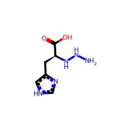 NNN[C@@H](Cc1c[nH]cn1)C(=O)O